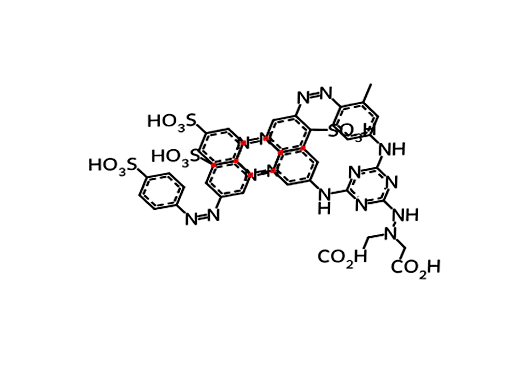 Cc1cc(Nc2nc(Nc3ccc(/N=N\c4ccc(/N=N\c5ccc(S(=O)(=O)O)cc5)cc4S(=O)(=O)O)c(C)c3)nc(NN(CC(=O)O)CC(=O)O)n2)ccc1/N=N\c1ccc(/N=N\c2ccc(S(=O)(=O)O)cc2)cc1S(=O)(=O)O